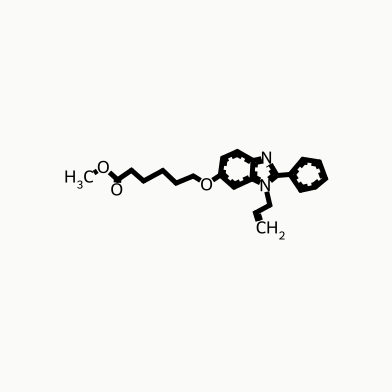 C=CCn1c(-c2ccccc2)nc2ccc(OCCCCCC(=O)OC)cc21